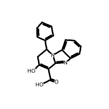 O=C(O)C1=C(O)CC(c2ccccc2)n2c1nc1ccccc12